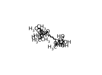 CC(=O)N[C@H]1[C@H](OCCCCCNC(=O)OC[C@@H](CC(C)(C)C)OP(=O)(O)OC(C)(C)C)O[C@H](CO)[C@H](O)[C@@H]1O